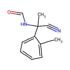 Cc1ccccc1C(C)(C#N)NC=O